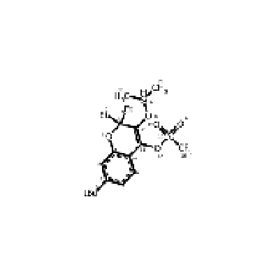 CCC1(CC)Oc2cc(C(C)(C)C)ccc2C(OS(=O)(=O)C(F)(F)F)=C1O[SiH](C)C